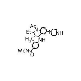 CCC1[C@H](C)C(Nc2ccc(C(=O)NC)cc2)c2cc(N3CCNCC3)ccc2N1C(C)=O